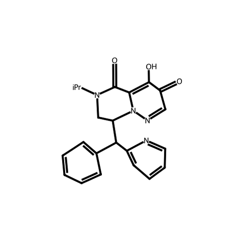 CC(C)N1CC(C(c2ccccc2)c2ccccn2)n2ncc(=O)c(O)c2C1=O